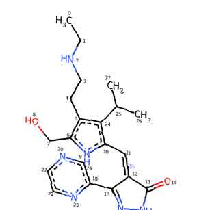 CCNCCc1c(CO)[nH]c(/C=C2/C(=O)NN=C2c2cnccn2)c1C(C)C